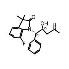 CNC[C@H](O)[C@H](c1ccccc1)N1C(=O)C(C)(C)c2cccc(F)c21